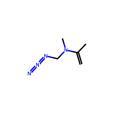 C=C(C)N(C)CN=[N+]=[N-]